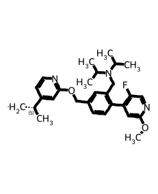 [CH2][C@@H](C)c1ccnc(OCc2ccc(-c3cc(OC)ncc3F)c(CN(C(C)C)C(C)C)c2)c1